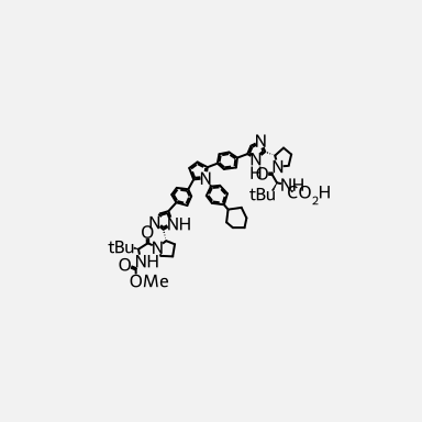 COC(=O)N[C@H](C(=O)N1CCC[C@H]1c1ncc(-c2ccc(-c3ccc(-c4ccc(-c5cnc([C@@H]6CCCN6C(=O)[C@@H](NC(=O)O)C(C)(C)C)[nH]5)cc4)n3-c3ccc(C4CCCCC4)cc3)cc2)[nH]1)C(C)(C)C